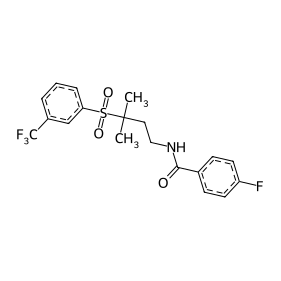 CC(C)(CCNC(=O)c1ccc(F)cc1)S(=O)(=O)c1cccc(C(F)(F)F)c1